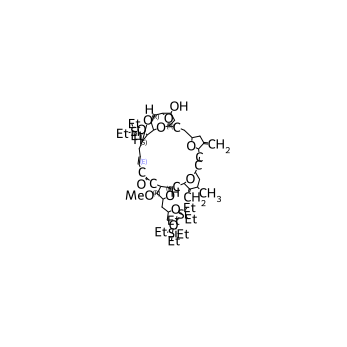 C=C1CC2CC[C@]34CC(O)C(O3)[C@H]3CC(O4)C(O[Si](CC)(CC)CC)[C@H](C/C=C/CC(=O)CC4[C@@H](OC)C(CC(CO[Si](CC)(CC)CC)O[Si](CC)(CC)CC)O[C@H]4CC4OC(CCC1O2)CC(C)C4=C)O3